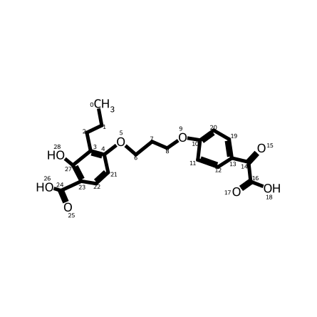 CCCc1c(OCCCOc2ccc(C(=O)C(=O)O)cc2)ccc(C(=O)O)c1O